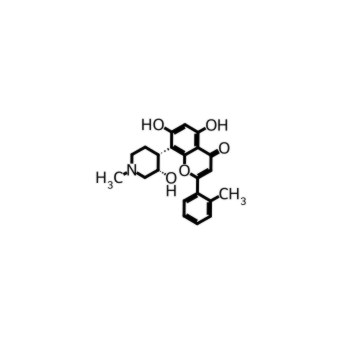 Cc1ccccc1-c1cc(=O)c2c(O)cc(O)c([C@H]3CCN(C)C[C@H]3O)c2o1